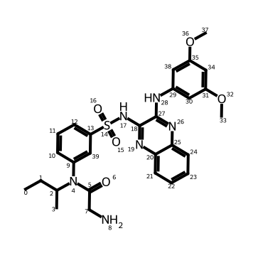 CCC(C)N(C(=O)CN)c1cccc(S(=O)(=O)Nc2nc3ccccc3nc2Nc2cc(OC)cc(OC)c2)c1